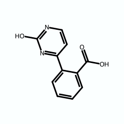 O=C(O)c1ccccc1-c1ccnc(O)n1